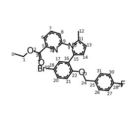 CCOC(=O)c1cccc(-n2c(C)ccc2-c2cc(Br)ccc2OCc2ccc(F)cc2)n1